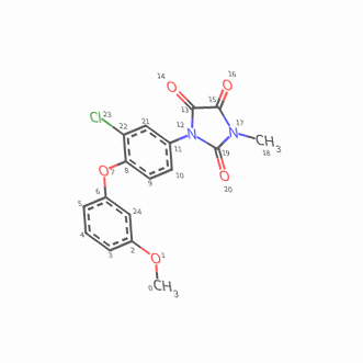 COc1cccc(Oc2ccc(N3C(=O)C(=O)N(C)C3=O)cc2Cl)c1